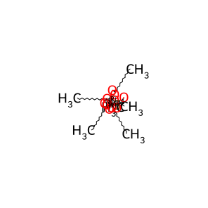 CCCCCCCCCCCC(=O)OC[C@H]1O[C@@H](S[C@@H]2CC(=O)CC2(C)C)[C@H](OC(=O)CCCCCCCCCCC)[C@@H](OC(=O)CCCCCCCCCCC)[C@H]1OC(=O)CCCCCCCCCCC